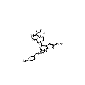 CCCc1cc2c(N3CCn4c(nnc4C(F)(F)F)C3)nc(NCC3CCN(C(C)=O)C3)nc2s1